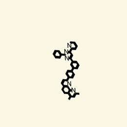 Cc1cc(C)c2c(n1)-c1nc(-c3ccc(-c4cccc(-c5cc(-c6ccccn6)nc(-c6ccccc6)n5)c4)cc3)ccc1CC2